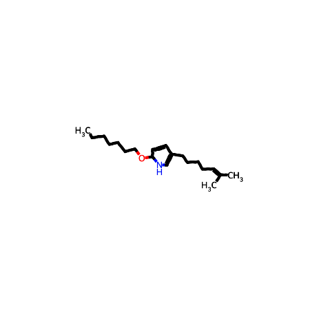 CCCCCCCOC1C=CC(CCCCC=C(C)C)=CN1